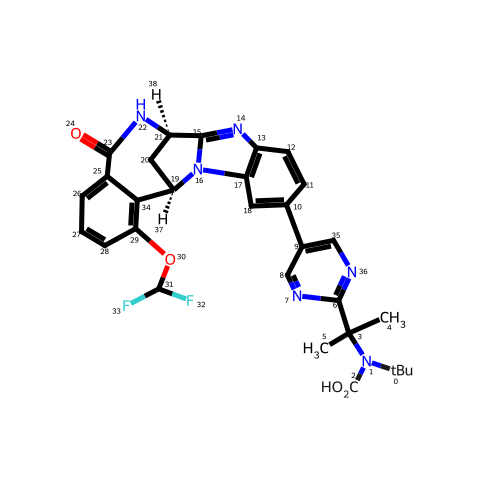 CC(C)(C)N(C(=O)O)C(C)(C)c1ncc(-c2ccc3nc4n(c3c2)[C@@H]2C[C@H]4NC(=O)c3cccc(OC(F)F)c32)cn1